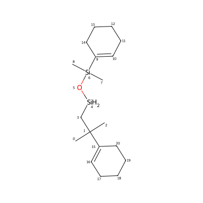 CC(C)(C[SiH2]O[Si](C)(C)C1=CCCCC1)C1=CCCCC1